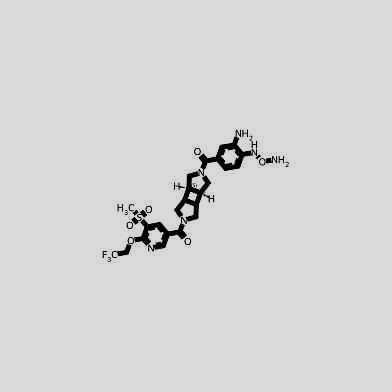 CS(=O)(=O)c1cc(C(=O)N2CC3C(C2)[C@@H]2CN(C(=O)c4ccc(NON)c(N)c4)C[C@H]32)cnc1OCC(F)(F)F